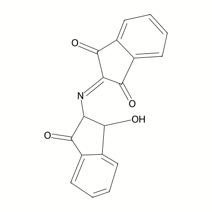 O=C1c2ccccc2C(O)C1N=c1c(=O)c2ccccc2c1=O